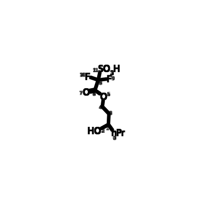 CCCC(O)CCOC(=O)C(F)(F)S(=O)(=O)O